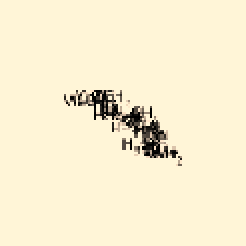 COC(=O)N[C@H](C(=O)N1CCC[C@H]1c1ncc(-c2ccc3c4ccc(-c5cnc([C@@H]6CCCN6C(=O)[C@@H](OC(N)=O)[C@@H](C)OC)[nH]5)cc4n(C)c3c2)[nH]1)C(C)OC